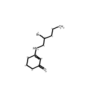 CCCC(Br)CNC1=CC(=O)CCC1